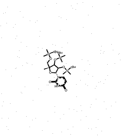 CC(C)(C)[Si](C)(C)OC[C@@]1(C)O[C@@H](n2ccc(=O)[nH]c2=O)C(O[Si](C)(C)C(C)(C)C)C1O[Si](C)(C)C(C)(C)C